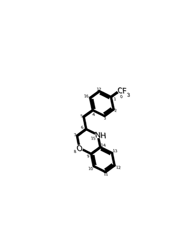 FC(F)(F)c1ccc(CC2COc3ccccc3N2)cc1